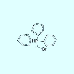 Br[CH][PH](c1ccccc1)(c1ccccc1)c1ccccc1